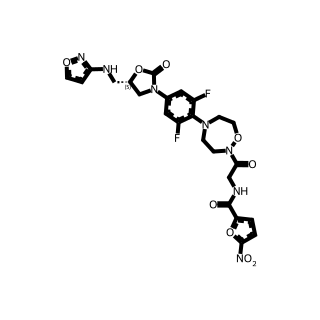 O=C(NCC(=O)N1CCN(c2c(F)cc(N3C[C@H](CNc4ccon4)OC3=O)cc2F)CCO1)c1ccc([N+](=O)[O-])o1